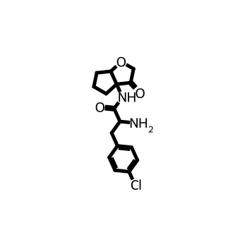 NC(Cc1ccc(Cl)cc1)C(=O)NC12CCCC1OCC2=O